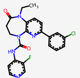 CCN1C(=O)CCN(C(=O)Nc2ccncc2F)c2nc(-c3cccc(Cl)c3)ccc21